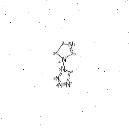 C1=NCCN1n1cnnn1